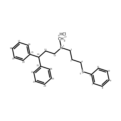 CN(CCCSc1ccccc1)CCC(c1ccccc1)c1ccccc1.Cl